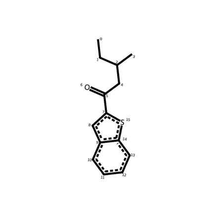 CCC(C)CC(=O)c1cc2ccccc2s1